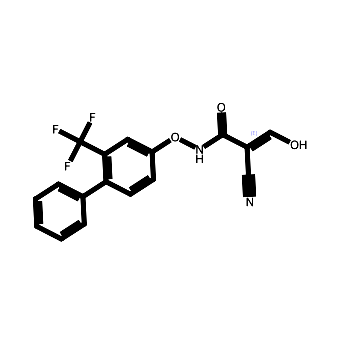 N#C/C(=C\O)C(=O)NOc1ccc(-c2ccccc2)c(C(F)(F)F)c1